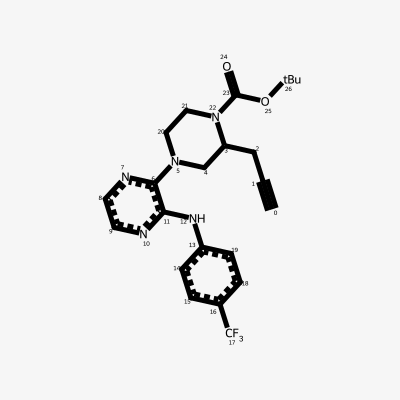 C#CCC1CN(c2nccnc2Nc2ccc(C(F)(F)F)cc2)CCN1C(=O)OC(C)(C)C